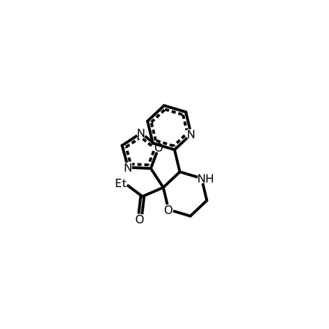 CCC(=O)C1(c2ncno2)OCCNC1c1ccccn1